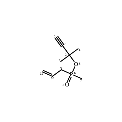 C#CC(C)(C)OP(C)(=O)CC=C